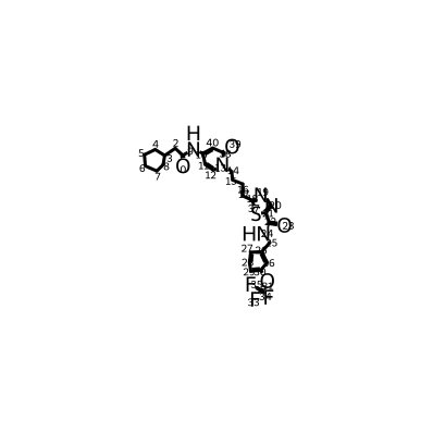 O=C(CC1CCCCC1)Nc1ccn(CCCCc2nnc(C(=O)NCc3cccc(OC(F)(F)F)c3)s2)c(=O)c1